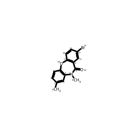 Cc1ccc2c(c1)N(C)C(=O)c1cc(Br)ccc1O2